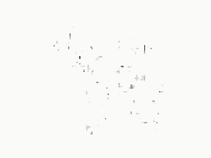 CSc1ccc(-n2nc(C(N)=O)c3c2-c2cc(NC(=O)c4ccncc4Cl)ccc2CC3)cc1.Cl